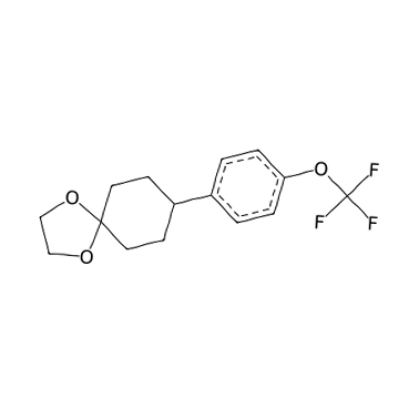 FC(F)(F)Oc1ccc(C2CCC3(CC2)OCCO3)cc1